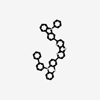 c1ccc(-c2cccc(N3c4ccccc4Sc4cc(-c5ccc6oc7ccc(-c8ccc9c%10ccccc%10n(-c%10ccccc%10)c9c8)nc7c6n5)ccc43)c2)cc1